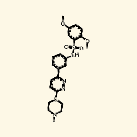 COc1ccc(OC)c(S(=O)(=O)Nc2cccc(-c3ccc(N4CCN(C)CC4)nn3)c2)c1